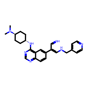 CN(C)[C@H]1CC[C@H](Nc2ncnc3ccc(/C(C=N)=C/NCc4ccncc4)cc23)CC1